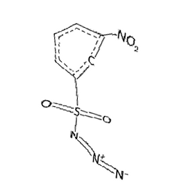 [N-]=[N+]=NS(=O)(=O)c1cccc([N+](=O)[O-])c1